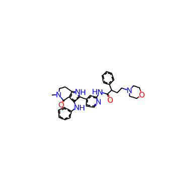 CN1CCc2[nH]c(-c3ccnc(NC(=O)C(CCN4CCOCC4)c4ccccc4)c3)c(Nc3ccccc3)c2C1=O